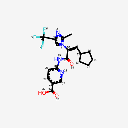 Cc1nc(C(F)(F)F)cn1C(=CC1CCCC1)C(=O)Nc1ccc(C(=O)O)cn1